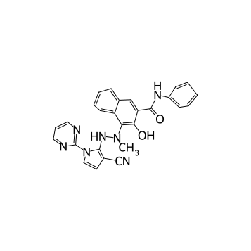 CN(Nc1c(C#N)ccn1-c1ncccn1)c1c(O)c(C(=O)Nc2ccccc2)cc2ccccc12